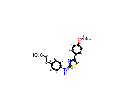 CCCCOc1ccc(-c2csc(Nc3ccc(CCC(=O)O)cc3)n2)cc1